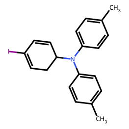 Cc1ccc(N(c2ccc(C)cc2)C2C=CC(I)=CC2)cc1